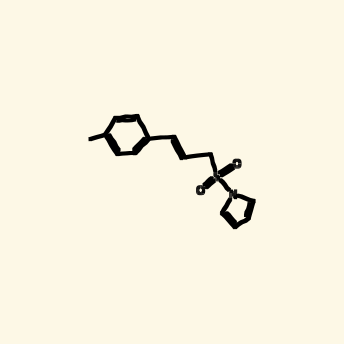 Cc1ccc(C=CCS(=O)(=O)n2cccc2)cc1